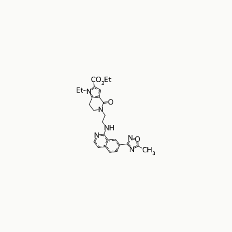 CCOC(=O)c1cc2c(n1CC)CCN(CCNc1nccc3ccc(-c4noc(C)n4)cc13)C2=O